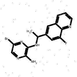 CC(Nc1nc(Br)cnc1N)c1cc(F)c2ncccc2c1